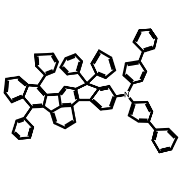 c1ccc(-c2ccc(N(c3ccc(-c4ccccc4)cc3)c3ccc4c(c3)C(c3ccccc3)(c3ccccc3)c3cc5c6c(cccc6c3-4)-c3c-5c(-c4ccccc4)c4ccccc4c3-c3ccccc3)cc2)cc1